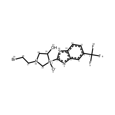 [O-][N+]1(c2nc3cc(C(F)(F)F)ccc3s2)CN(CCBr)CC1O